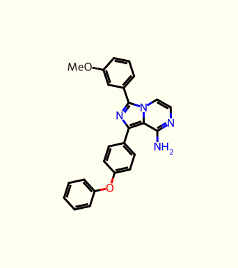 COc1cccc(-c2nc(-c3ccc(Oc4ccccc4)cc3)c3c(N)nccn23)c1